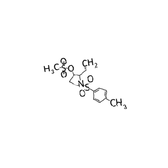 C=CC1C(OS(C)(=O)=O)CCN1S(=O)(=O)c1ccc(C)cc1